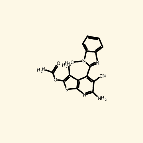 Cn1c(-c2c(C#N)c(N)nc3sc(OC(N)=O)c(N)c23)nc2ccccc21